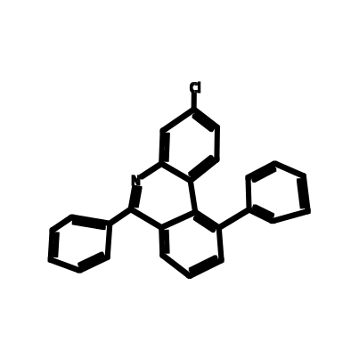 Clc1ccc2c(c1)nc(-c1ccccc1)c1cccc(-c3ccccc3)c12